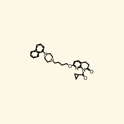 O=C1CCc2ccc(OCCCCN3CCN(c4cccc5ccccc45)CC3)nc2N1C(=O)C1CC1